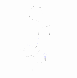 Cc1[nH]c2c(N3CCCC(C4CCCCC4)C3)nccc2c1C